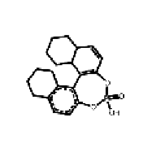 O=P1(O)OC2=C(c3c(ccc4c3CCCC4)O1)C1CCCCC1C=C2